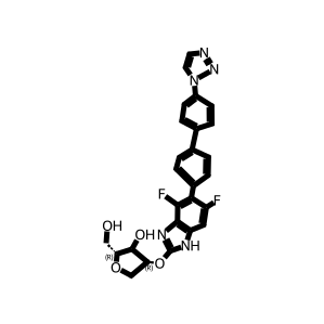 OC[C@H]1OC[C@@H](Oc2nc3c(F)c(-c4ccc(-c5ccc(-n6ccnn6)cc5)cc4)c(F)cc3[nH]2)C1O